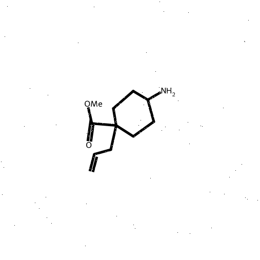 C=CCC1(C(=O)OC)CCC(N)CC1